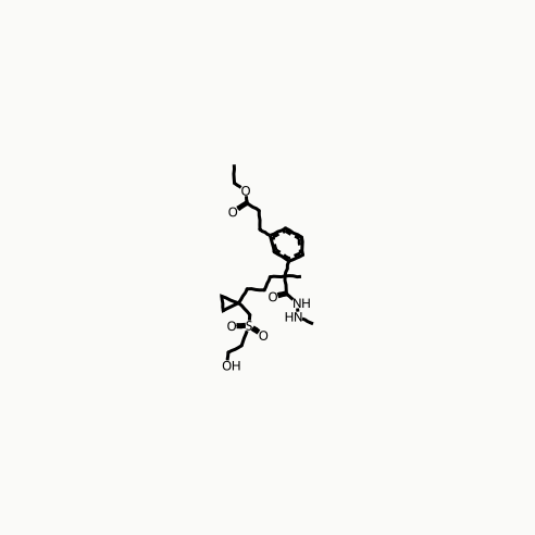 CCOC(=O)CCc1cccc(C(C)(CCCC2(CS(=O)(=O)CCO)CC2)C(=O)NNC)c1